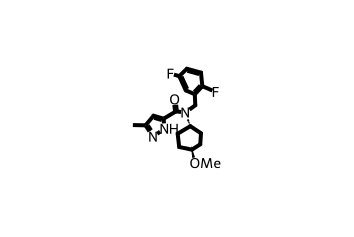 CO[C@H]1CC[C@H](N(Cc2cc(F)ccc2F)C(=O)c2cc(C)n[nH]2)CC1